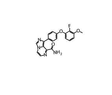 COc1cccc(Oc2ccc(-c3ncn4ccnc(C(N)=O)c34)cc2)c1F